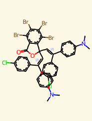 CN(C)c1ccc(/C(=C/C2(/C=C(\c3ccc(Cl)cc3)c3ccc(N(C)C)cc3)OC(=O)c3c(Br)c(Br)c(Br)c(Br)c32)c2ccc(Cl)cc2)cc1